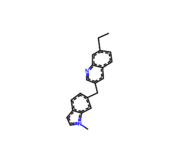 CCc1ccc2cc(Cc3ccc4ccn(C)c4c3)cnc2c1